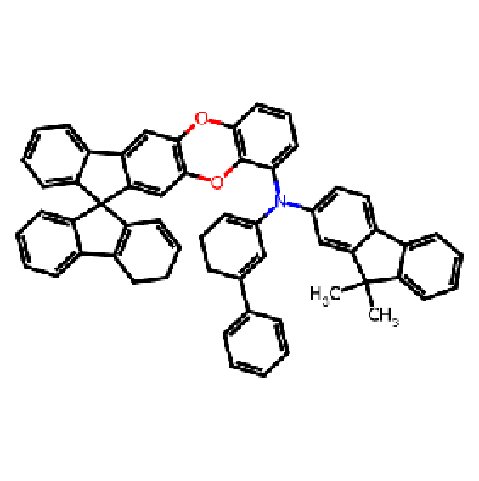 CC1(C)c2ccccc2-c2ccc(N(C3=CCCC(c4ccccc4)=C3)c3cccc4c3Oc3cc5c(cc3O4)-c3ccccc3C53C4=C(CCC=C4)c4ccccc43)cc21